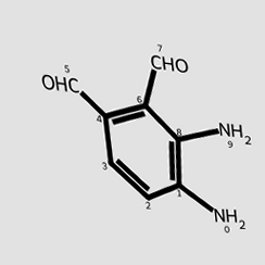 Nc1ccc(C=O)c(C=O)c1N